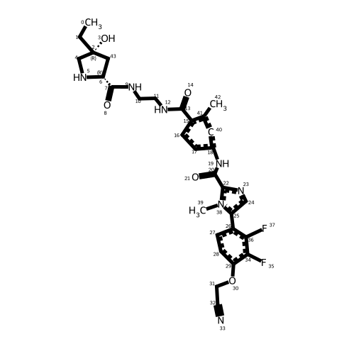 CC[C@]1(O)CN[C@@H](C(=O)NCCNC(=O)c2ccc(NC(=O)c3ncc(-c4ccc(OCC#N)c(F)c4F)n3C)cc2C)C1